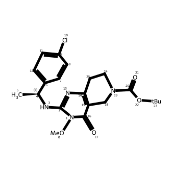 COn1c(N[C@@H](C)c2ccc(Cl)cc2)nc2c(c1=O)CN(C(=O)OC(C)(C)C)CC2